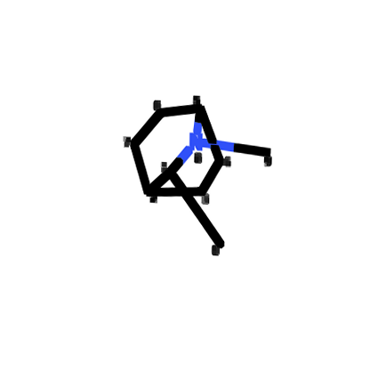 CC1C2CCC(CC2)N1C